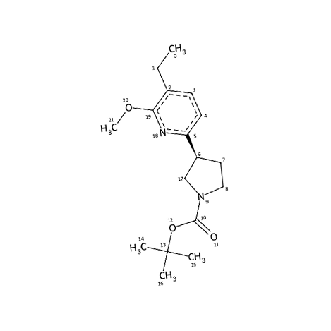 CCc1ccc([C@H]2CCN(C(=O)OC(C)(C)C)C2)nc1OC